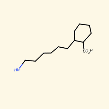 [NH]CCCCCCC1CCCCC1C(=O)O